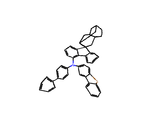 c1ccc(-c2ccc(N(c3ccc4sc5ccccc5c4c3)c3cccc4c3-c3ccccc3C43CC4CCC5CC4CC3C5)cc2)cc1